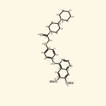 COc1cc2ncnc(Oc3ccc(OCC(=O)N4CCC(N5CCCCC5)CC4)cc3)c2cc1OC